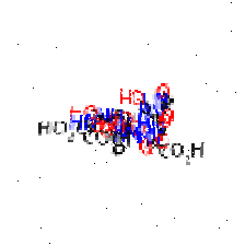 CC[C@H](C)[C@H](NC(=O)[C@H](Cc1ccccc1)NC(=O)[C@@H](NC(=O)CNC(=O)[C@H](CCC(=O)O)NC(=O)[C@H](C)NC(=O)[C@H](Cc1ccc(O)cc1)NC(=O)[C@@H]1CCC(=O)N1)[C@@H](C)O)C(=O)N[C@@H](CO)C(=O)N[C@@H](CC(=O)O)C(=O)O